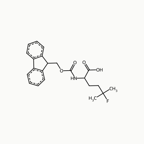 CC(C)(F)CCC(NC(=O)OCC1c2ccccc2-c2ccccc21)C(=O)O